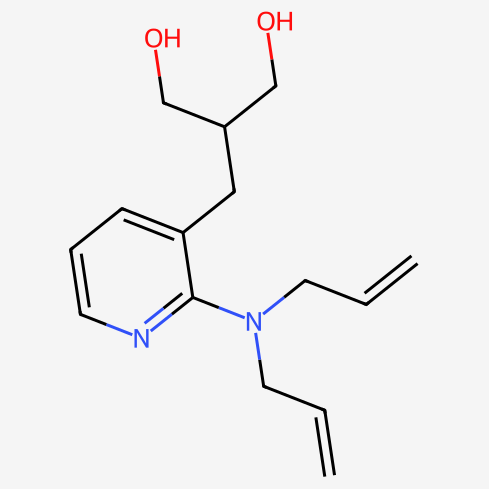 C=CCN(CC=C)c1ncccc1CC(CO)CO